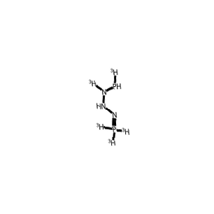 [3H]PN([3H])NN=P([3H])([3H])[3H]